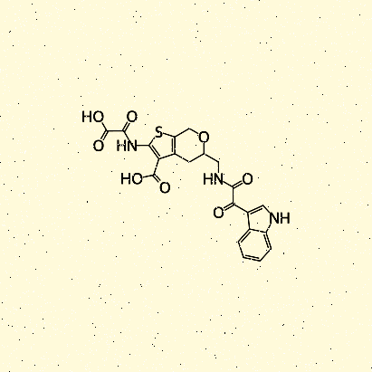 O=C(O)C(=O)Nc1sc2c(c1C(=O)O)CC(CNC(=O)C(=O)c1c[nH]c3ccccc13)OC2